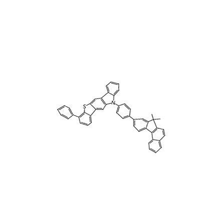 CC1(C)c2cc(-c3ccc(-n4c5ccccc5c5cc6sc7c(-c8ccccc8)cccc7c6cc54)cc3)ccc2-c2c1ccc1ccccc21